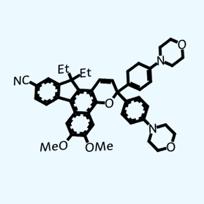 CCC1(CC)c2cc(C#N)ccc2-c2c1c1c(c3cc(OC)c(OC)cc23)OC(C2=CC=C(N3CCOCC3)CC2)(c2ccc(N3CCOCC3)cc2)C=C1